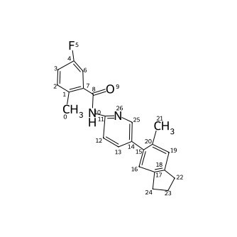 Cc1ccc(F)cc1C(=O)Nc1ccc(-c2cc3c(cc2C)CCC3)cn1